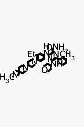 CCc1cc(Nc2nc(NC3CCOCC3)c(-c3ncccc3C)nc2C(N)=O)ccc1N1CCC(N2CCC3(CC2)CN(C)C3)CC1